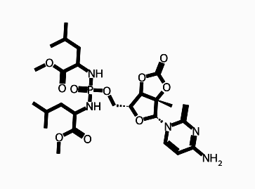 C=C1N=C(N)C=CN1[C@@H]1O[C@H](COP(=O)(NC(CC(C)C)C(=O)OC)NC(CC(C)C)C(=O)OC)C2OC(=O)O[C@@]21C